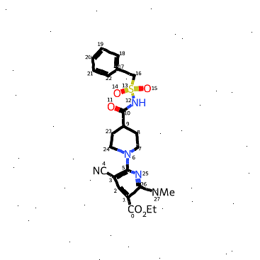 CCOC(=O)c1cc(C#N)c(N2CCC(C(=O)NS(=O)(=O)Cc3ccccc3)CC2)nc1NC